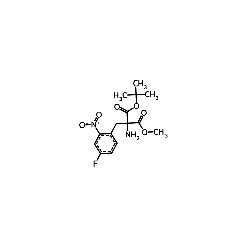 COC(=O)C(N)(Cc1ccc(F)cc1[N+](=O)[O-])C(=O)OC(C)(C)C